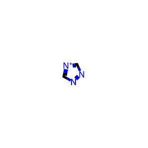 C1=[N+]=CN=N1